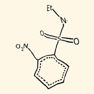 CC[N]S(=O)(=O)c1ccccc1[N+](=O)[O-]